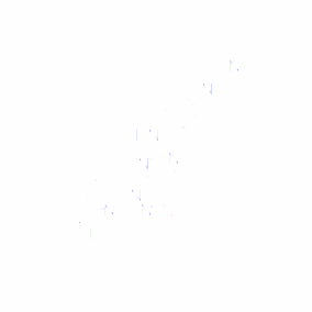 C=CCn1c(=O)c2cnc(Nc3ccc(N4CCN(C)CC4)cc3)nc2n1-c1ccc2c(n1)C(F)(F)CC2